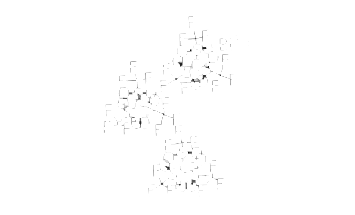 O=S(=O)([C-](S(=O)(=O)C(F)(F)F)S(=O)(=O)C(F)(F)F)C(F)(F)F.O=S(=O)([C-](S(=O)(=O)C(F)(F)F)S(=O)(=O)C(F)(F)F)C(F)(F)F.O=S(=O)([C-](S(=O)(=O)C(F)(F)F)S(=O)(=O)C(F)(F)F)C(F)(F)F.[Bi+3]